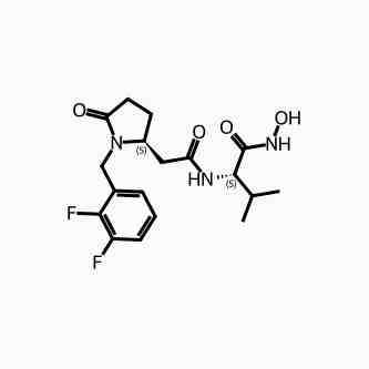 CC(C)[C@H](NC(=O)C[C@@H]1CCC(=O)N1Cc1cccc(F)c1F)C(=O)NO